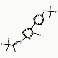 Cc1nc(N/N=C(\Br)C(F)(F)F)cnc1-c1ccc(OC(F)(F)F)cc1